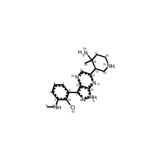 CNc1cccc(-c2n[nH]c3nc(C4CNCCC4(C)N)cnc23)c1Cl